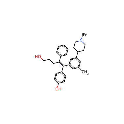 Cc1cc(/C(=C(/CCCO)c2ccccc2)c2ccc(O)cc2)cc(C2CCN(C(C)C)CC2)c1